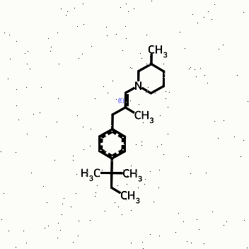 CCC(C)(C)c1ccc(C/C(C)=C/N2CCCC(C)C2)cc1